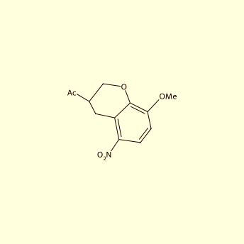 COc1ccc([N+](=O)[O-])c2c1OCC(C(C)=O)C2